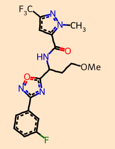 COCCC(NC(=O)c1cc(C(F)(F)F)nn1C)c1nc(-c2cccc(F)c2)no1